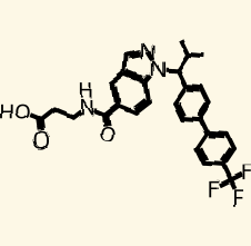 CC(C)C(c1ccc(-c2ccc(C(F)(F)F)cc2)cc1)n1ncc2cc(C(=O)NCCC(=O)O)ccc21